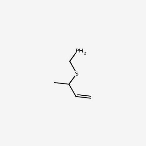 C=CC(C)SCP